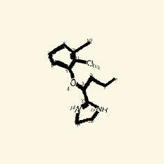 CCCC(Oc1cccc(C)c1Cl)C1=NCCN1